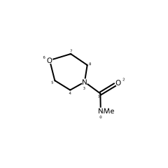 [CH2]NC(=O)N1CCOCC1